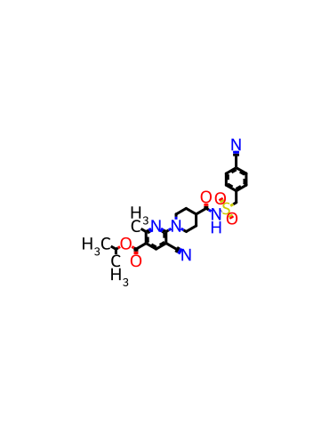 Cc1nc(N2CCC(C(=O)NS(=O)(=O)Cc3ccc(C#N)cc3)CC2)c(C#N)cc1C(=O)OC(C)C